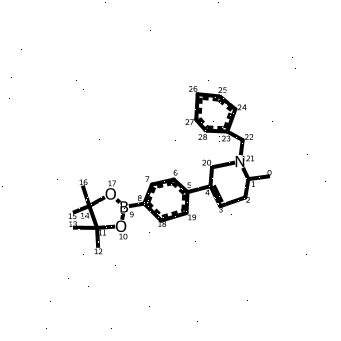 CC1CC=C(c2ccc(B3OC(C)(C)C(C)(C)O3)cc2)CN1Cc1ccccc1